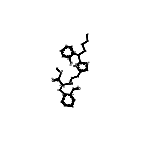 CCCCC(c1ncc(CCN[C@@H](Cc2ccccc2C=O)C(=O)OC)[nH]1)c1ccccc1Cl